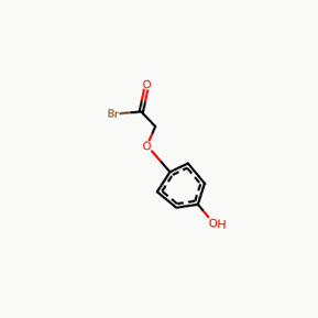 O=C(Br)COc1ccc(O)cc1